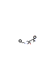 COc1ccc2ncc(CF)c(CCCC3(CC(=O)O)CCN(CCCc4ccccc4)CC3)c2c1